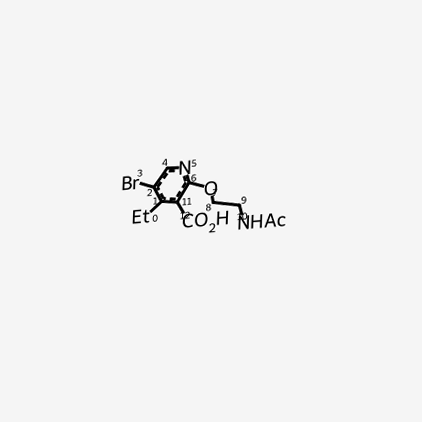 CCc1c(Br)cnc(OCCNC(C)=O)c1C(=O)O